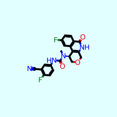 CN(C(=O)Nc1ccc(F)c(C#N)c1)[C@@H]1COCc2[nH]c(=O)c3ccc(F)cc3c21